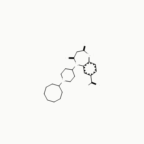 O=C1CC(=O)N(C2CCN(C3CCCCCCC3)CC2)c2cc(C(=O)O)ccc2N1